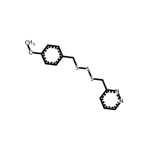 COc1ccc(CSSSCc2cccnn2)cc1